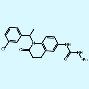 CC(c1cccc(Cl)c1)N1C(=O)CCc2cc(NC(=O)NC(C)(C)C)ccc21